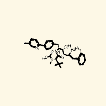 Cc1ccc(-c2ccc(C[C@H](NC(=O)[C@@H](N(C)C(=O)O)C(C)(C)C)[C@H](O)C[C@@H](N)Cc3ccccc3)cc2)nc1